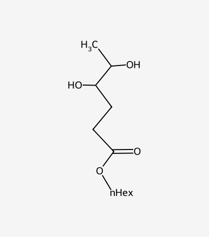 CCCCCCOC(=O)CCC(O)C(C)O